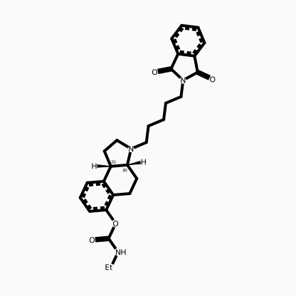 CCNC(=O)Oc1cccc2c1CC[C@@H]1[C@H]2CCN1CCCCCN1C(=O)c2ccccc2C1=O